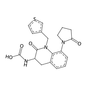 O=C(O)NC1Cc2cccc(N3CCCC3=O)c2N(Cc2ccsc2)C1=O